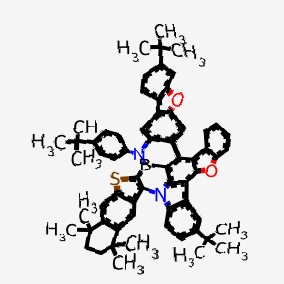 CC(C)(C)c1ccc(N2B3c4sc5cc6c(cc5c4-n4c5ccc(C(C)(C)C)cc5c5c7oc8ccccc8c7c(c3c54)-c3cc4oc5cc(C(C)(C)C)ccc5c4cc32)C(C)(C)CCC6(C)C)cc1